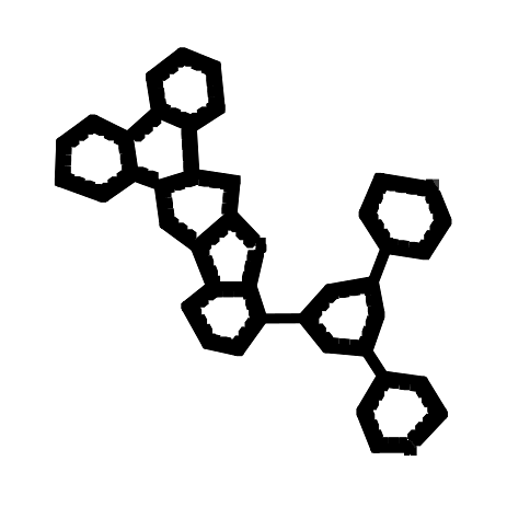 c1cc(-c2cc(-c3ccncc3)cc(-c3ccncc3)c2)c2sc3cc4c5ccccc5c5ccccc5c4cc3c2c1